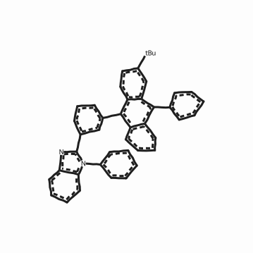 CC(C)(C)c1ccc2c(-c3cccc(-c4nc5ccccc5n4-c4ccccc4)c3)c3ccccc3c(-c3ccccc3)c2c1